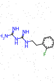 N=C(N)NC(=N)NCCc1ccccc1F